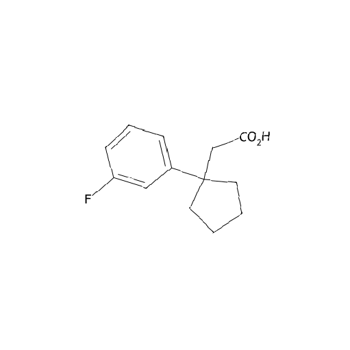 O=C(O)CC1(c2cccc(F)c2)CCCC1